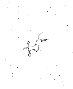 CCNC(CC)Cc1cccc2c1C(=O)NC2=O